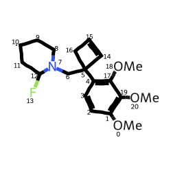 COc1ccc(C2(CN3CC[CH]CC3F)C=CC2)c(OC)c1OC